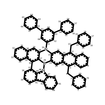 c1ccc(Cc2c3ccccc3c(Cc3ccccc3)c3cc4c(cc23)B2c3c(cc5ccccc5c3-c3cccc5c6ccccc6n2c35)N4c2cc(-c3ccccc3)cc(-c3ccccc3)c2)cc1